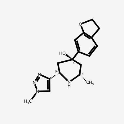 C[C@H]1C[C@@](O)(c2ccc3c(c2)OCC3)C[C@@H](c2cn(C)nn2)N1